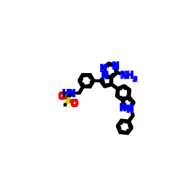 CS(=O)(=O)NCc1cccc(-c2cc(-c3ccc4cn(Cc5ccccc5)nc4c3)c3c(N)ncnn23)c1